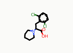 O=C(O)C(Cc1c(Cl)cccc1Cl)N1CCCCC1